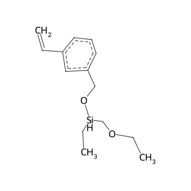 C=Cc1cccc(CO[SiH](CC)COCC)c1